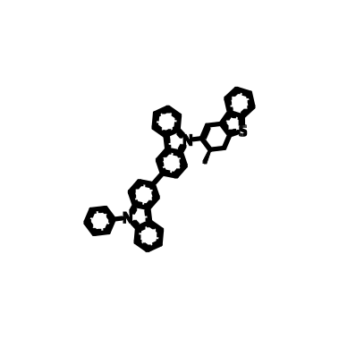 C[C@@H]1Cc2sc3ccccc3c2C=C1n1c2ccccc2c2cc(-c3ccc4c(c3)c3ccccc3n4-c3ccccc3)ccc21